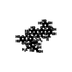 CC(=O)N[C@H]1[C@H](O[C@@H]2[C@H](O[C@]3(C(=O)O)C[C@H](O)[C@@H](NC(C)=O)[C@H]([C@H](O)[C@H](O)CO)O3)[C@@H](O)[C@H](O[C@H]3[C@H](O)[C@@H](O)[C@H](O)O[C@@H]3CO)O[C@@H]2CO)O[C@H](CO)[C@H](O)[C@@H]1O[C@@H]1O[C@H](CO)[C@H](O)[C@H](O[C@H]2O[C@H](CO)[C@H](O)[C@H](O)[C@H]2O)[C@H]1O[C@@H]1O[C@@H](C)[C@@H](O)[C@@H](O)[C@@H]1O